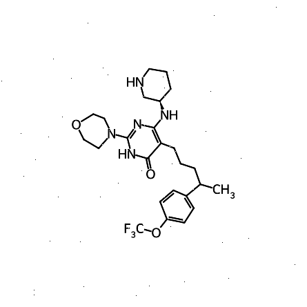 CC(CCCc1c(N[C@@H]2CCCNC2)nc(N2CCOCC2)[nH]c1=O)c1ccc(OC(F)(F)F)cc1